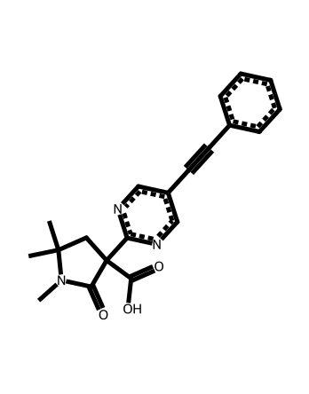 CN1C(=O)C(C(=O)O)(c2ncc(C#Cc3ccccc3)cn2)CC1(C)C